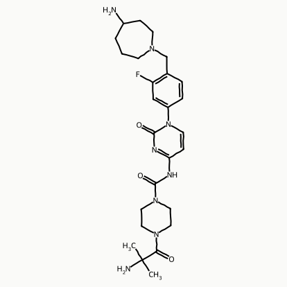 CC(C)(N)C(=O)N1CCN(C(=O)Nc2ccn(-c3ccc(CN4CCCC(N)CC4)c(F)c3)c(=O)n2)CC1